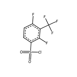 O=S(=O)(Cl)c1ccc(F)c(C(F)(F)F)c1F